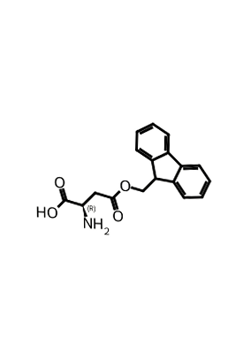 N[C@H](CC(=O)OCC1c2ccccc2-c2ccccc21)C(=O)O